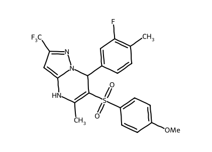 COc1ccc(S(=O)(=O)C2=C(C)Nc3cc(C(F)(F)F)nn3C2c2ccc(C)c(F)c2)cc1